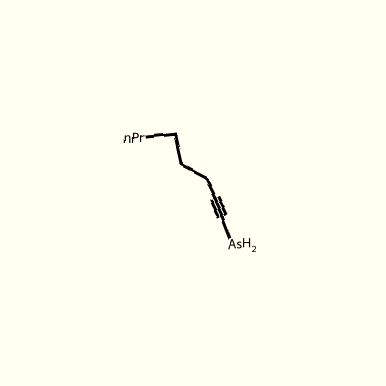 CCCCCCC#C[AsH2]